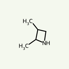 CC1CNC1C